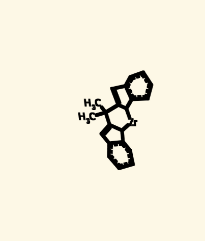 CC1(C)C2=Cc3ccccc3[CH]2[Zr][CH]2C1=Cc1ccccc12